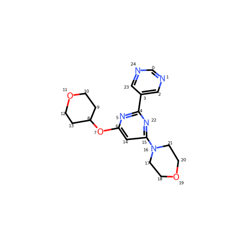 c1ncc(-c2nc(OC3CCOCC3)cc(N3CCOCC3)n2)cn1